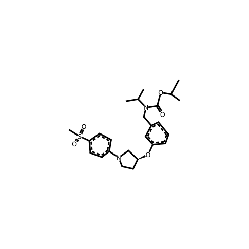 CC(C)OC(=O)N(Cc1cccc(O[C@H]2CCN(c3ccc(S(C)(=O)=O)cc3)C2)c1)C(C)C